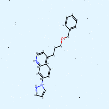 c1ccc(COCCCc2ccnc3cc(-n4cccn4)ccc23)cc1